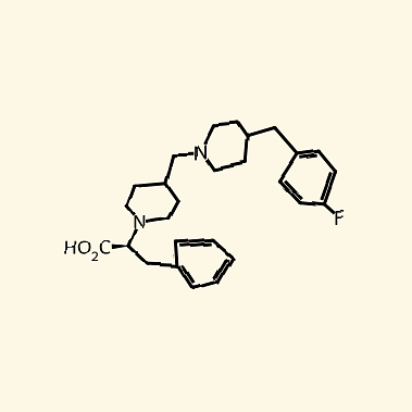 O=C(O)[C@H](Cc1ccccc1)N1CCC(CN2CCC(Cc3ccc(F)cc3)CC2)CC1